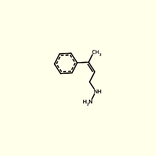 C/C(=C/CNN)c1ccccc1